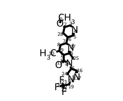 COC1CN=CC(C2CC(C)C3C(=O)N(C4C=NN(CC(F)(F)F)C4)CC3=N2)C1